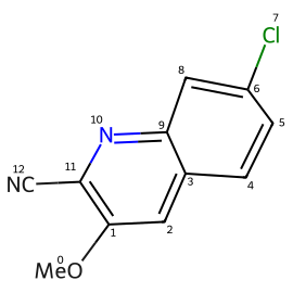 COc1cc2ccc(Cl)cc2nc1C#N